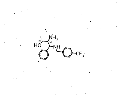 C[C@@H](O)[C@@H](N)C(NCc1ccc(C(F)(F)F)cc1)c1ccccc1